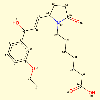 CCOc1cccc(C(O)C=CC2CCC(=O)N2CCCCCCC(=O)O)c1